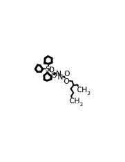 CCCCC(CC)COC(=O)/N=N/C(=O)O[Si](c1ccccc1)(c1ccccc1)c1ccccc1